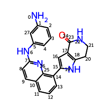 Nc1cccc(Nc2ccc3cccc(-c4cc5c([nH]4)CCNC5=O)c3n2)c1